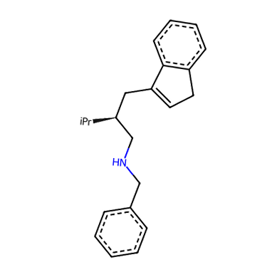 CC(C)[C@H](CNCc1ccccc1)CC1=CCc2ccccc21